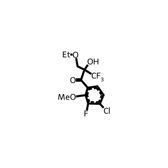 CCOCC(O)(C(=O)c1ccc(Cl)c(F)c1OC)C(F)(F)F